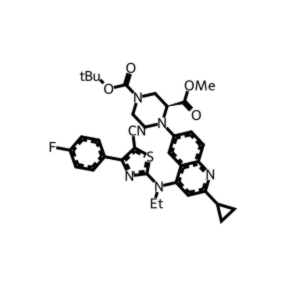 CCN(c1nc(-c2ccc(F)cc2)c(C#N)s1)c1cc(C2CC2)nc2ccc(N3CCN(C(=O)OC(C)(C)C)C[C@H]3C(=O)OC)cc12